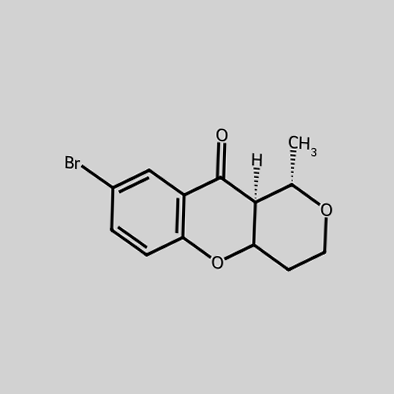 C[C@@H]1OCCC2Oc3ccc(Br)cc3C(=O)[C@H]21